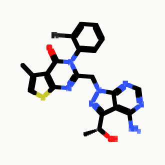 Cc1csc2nc(Cn3nc([C@@H](C)O)c4c(N)ncnc43)n(-c3ccccc3C(C)C)c(=O)c12